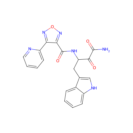 NC(=O)C(=O)C(Cc1c[nH]c2ccccc12)NC(=O)c1nonc1-c1ccccn1